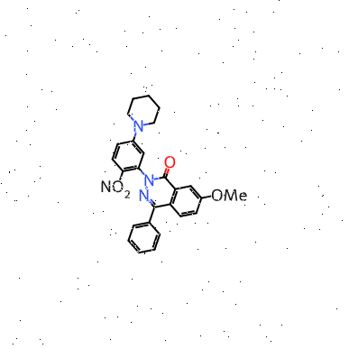 COc1ccc2c(-c3ccccc3)nn(-c3cc(N4CCCCC4)ccc3[N+](=O)[O-])c(=O)c2c1